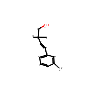 CC(C)c1cccc(/C=C/C(C)(C)CO)c1